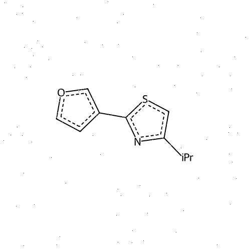 CC(C)c1csc(-c2ccoc2)n1